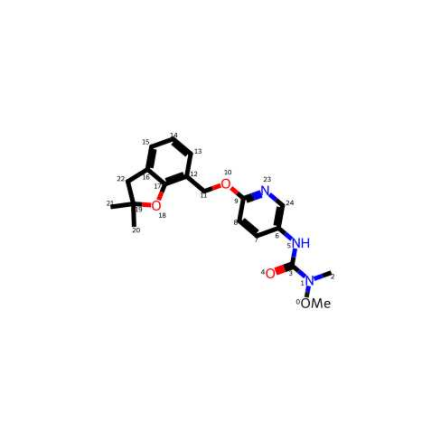 CON(C)C(=O)Nc1ccc(OCc2cccc3c2OC(C)(C)C3)nc1